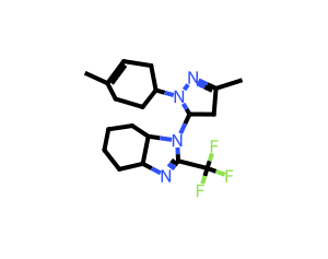 CC1=CCC(N2N=C(C)CC2N2C(C(F)(F)F)=NC3CCCCC32)CC1